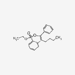 CCCCC1=C(c2ccccc2)OP(=O)(OCC)c2ccccc21